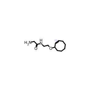 NCC(=O)NCCOC1/C=C\CCCCC1